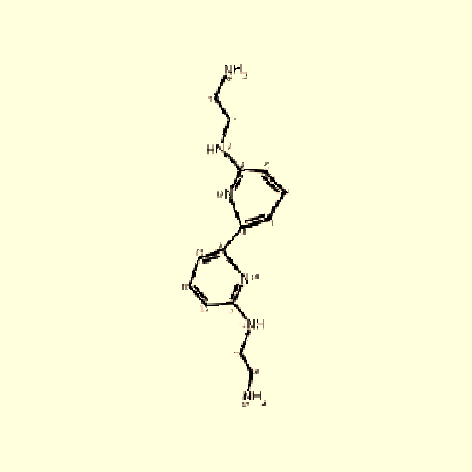 NCCNc1cccc(-c2cccc(NCCN)n2)n1